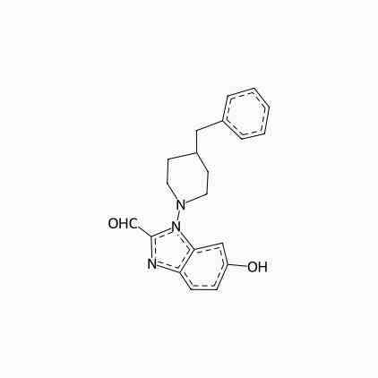 O=Cc1nc2ccc(O)cc2n1N1CCC(Cc2ccccc2)CC1